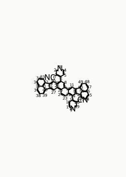 N#Cc1cnccc1-c1cc2c3cc4c(c(-c5ccncc5C#N)c3ccc2c2cc3c(cc12)-c1cccc2cccc-3c12)-c1cccc2cccc-4c12